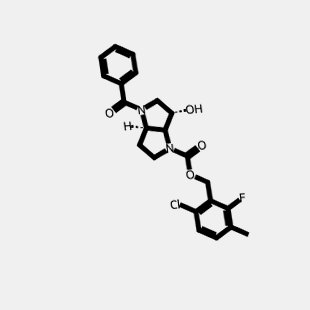 Cc1ccc(Cl)c(COC(=O)N2CC[C@@H]3C2[C@@H](O)CN3C(=O)c2ccccc2)c1F